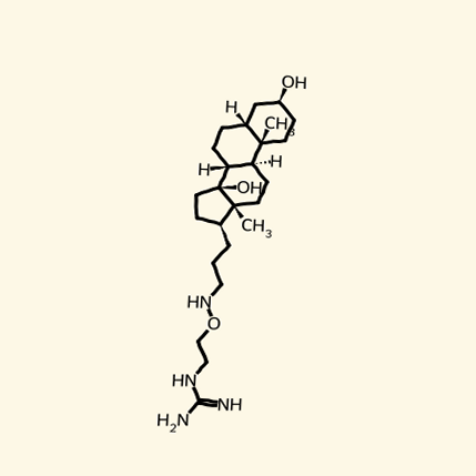 C[C@]12CC[C@H](O)C[C@H]1CC[C@@H]1[C@@H]2CC[C@]2(C)[C@@H](CCCNOCCNC(=N)N)CC[C@]12O